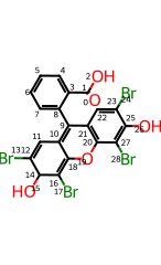 O=C(O)c1ccccc1C1=C2C=C(Br)C(O)C(Br)=C2Oc2c1cc(Br)c(O)c2Br